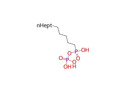 CCCCCCCCCCCCP(=O)(O)OP(=O)(O)O